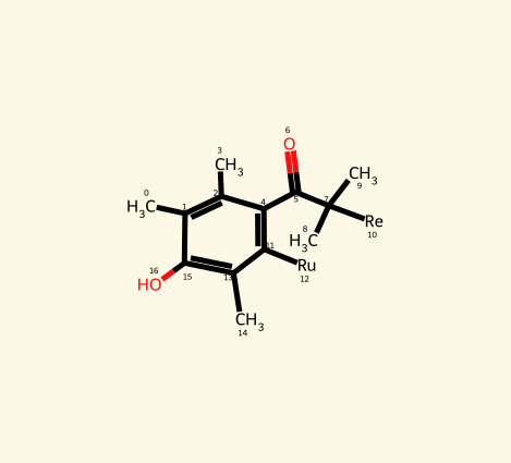 Cc1c(C)c(C(=O)[C](C)(C)[Re])[c]([Ru])c(C)c1O